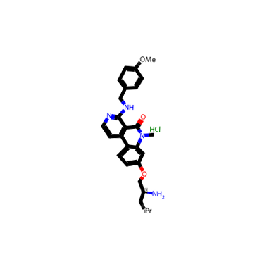 COc1ccc(CNc2nccc3c2c(=O)n(C)c2cc(OC[C@@H](N)CC(C)C)ccc32)cc1.Cl